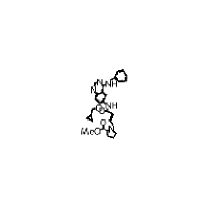 COC(=O)[C@@H]1CCCN1C/C=C/C(=O)Nc1cc2c(NCc3ccccc3)ncnc2cc1OCC1CC1